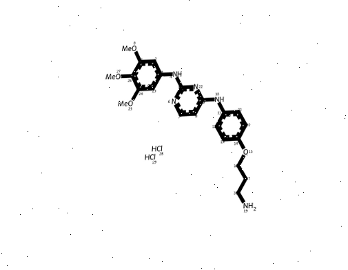 COc1cc(Nc2nccc(Nc3ccc(OCCCN)cc3)n2)cc(OC)c1OC.Cl.Cl